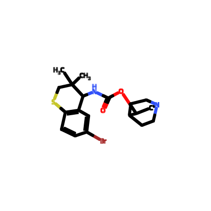 CC1(C)CSc2ccc(Br)cc2C1NC(=O)OC1CN2CCC1CC2